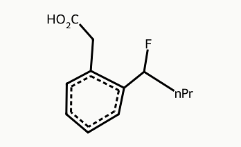 CCCC(F)c1ccccc1CC(=O)O